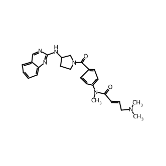 CN(C)C/C=C/C(=O)N(C)c1ccc(C(=O)N2CCC(Nc3ncc4ccccc4n3)C2)cc1